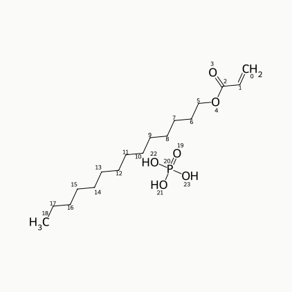 C=CC(=O)OCCCCCCCCCCCCCC.O=P(O)(O)O